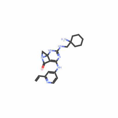 C=Cc1cc(NC2=C3C(=O)N4CC34NC(NCC3(N)CCCCC3)=N2)ccn1